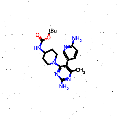 Cc1nc(N)nc(N2CCC(NC(=O)OC(C)(C)C)CC2)c1-c1ccc(N)nc1